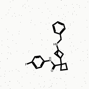 O=C(Nc1ccc(F)cc1)C1(C23CC(NCc4ccccc4)(C2)C3)CCC1